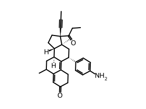 CC#C[C@]1(C(=O)CC)CC[C@H]2[C@@H]3CC(C)C4=CC(=O)CCC4=C3[C@@H](c3ccc(N)cc3)C[C@@]21C